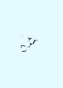 CSc1nc(N)cc(CN2CCOCC2)n1